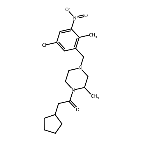 Cc1c(CN2CCN(C(=O)CC3CCCC3)C(C)C2)cc(Cl)cc1[N+](=O)[O-]